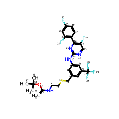 C=C(NCCSCc1cc(Nc2ncc(F)c(-c3ccc(F)cc3F)n2)cc(C(F)(F)F)c1)OC(C)(C)C